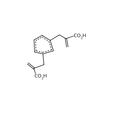 C=C(Cc1cccc(CC(=C)C(=O)O)c1)C(=O)O